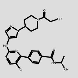 C[C@@H](C#N)NC(=O)c1ccc(-c2nc(Nc3cnn(C4CCN(C(=O)CO)CC4)c3)ncc2Cl)cc1